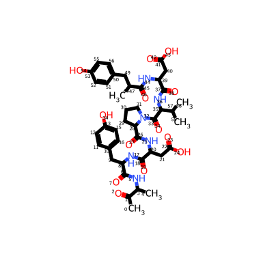 CC(=O)C(C)NC(=O)C(Cc1ccc(O)cc1)NC(=O)C(CC(=O)O)NC(=O)C1CCCN1C(=O)C(NC(=O)C(CC(=O)O)NC(=O)C(C)Cc1ccc(O)cc1)C(C)C